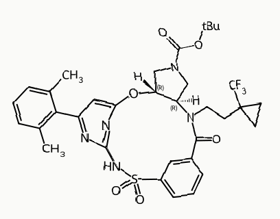 Cc1cccc(C)c1-c1cc2nc(n1)NS(=O)(=O)c1cccc(c1)C(=O)N(CCC1(C(F)(F)F)CC1)[C@@H]1CN(C(=O)OC(C)(C)C)C[C@H]1O2